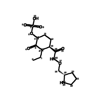 CCN1C(=O)N(OS(=O)(=O)O)CC[C@H]1C(=O)NOC[C@@H]1CCCN1